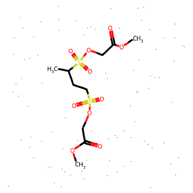 COC(=O)COS(=O)(=O)CCC(C)S(=O)(=O)OCC(=O)OC